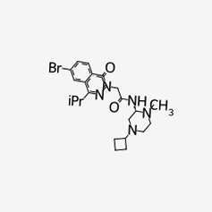 CC(C)c1nn(CC(=O)N[C@@H]2CN(C3CCC3)CCN2C)c(=O)c2ccc(Br)cc12